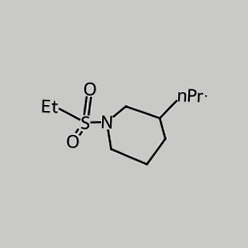 CC[CH]C1CCCN(S(=O)(=O)CC)C1